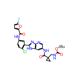 CC(C)(C)OC(=O)NCC1(C(=O)Nc2cnc3nc(-c4cc(NC(=O)c5ccc(F)o5)ccc4Cl)[nH]c3c2)CC1